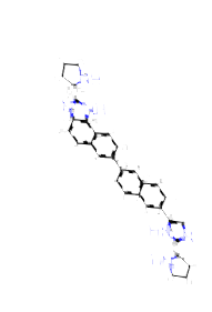 c1cc2cc(-c3cnc([C@@H]4CCCN4)[nH]3)ccc2cc1-c1ccc2c(ccc3nc([C@@H]4CCCN4)[nH]c32)c1